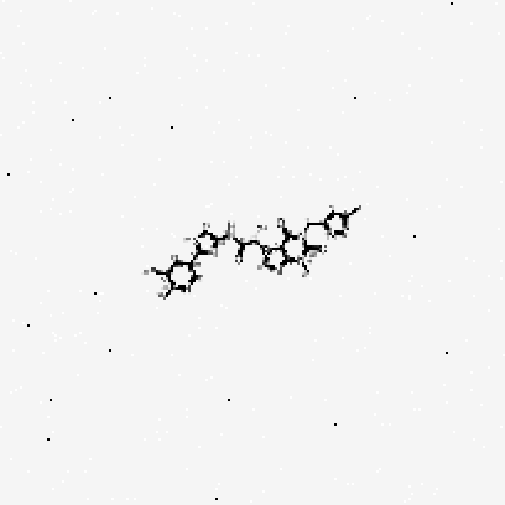 Cc1cc(Cn2c(=O)c3c(ncn3[C@@H](C)C(=O)Nc3csc(-c4cnc(C)c(F)c4)n3)n(C)c2=O)no1